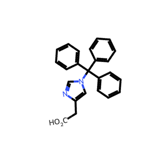 O=C(O)Cc1cn(C(c2ccccc2)(c2ccccc2)c2ccccc2)cn1